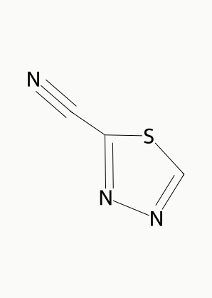 N#Cc1nncs1